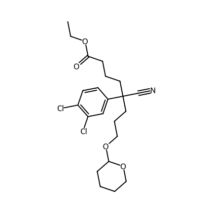 CCOC(=O)CCCC(C#N)(CCCOC1CCCCO1)c1ccc(Cl)c(Cl)c1